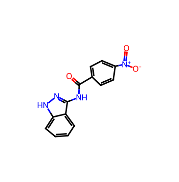 O=C(Nc1n[nH]c2ccccc12)c1ccc([N+](=O)[O-])cc1